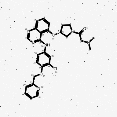 CN(C)CC(=O)N1CC[C@H](Oc2cccc3ncnc(Nc4ccc(OCc5ccccn5)c(Cl)c4)c23)C1